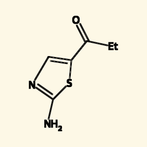 CCC(=O)c1cnc(N)s1